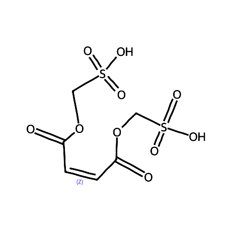 O=C(/C=C\C(=O)OCS(=O)(=O)O)OCS(=O)(=O)O